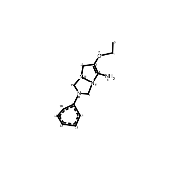 CCOC1=C(N)N2CN(c3ccccc3)CN2C1